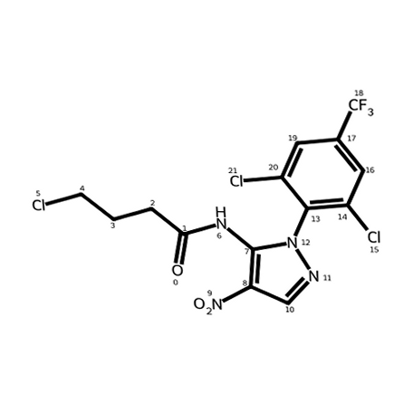 O=C(CCCCl)Nc1c([N+](=O)[O-])cnn1-c1c(Cl)cc(C(F)(F)F)cc1Cl